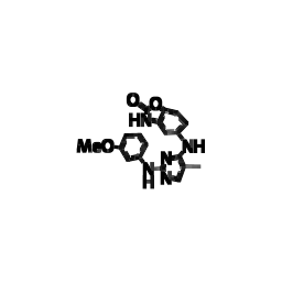 COc1cccc(Nc2ncc(C)c(Nc3ccc4oc(=O)[nH]c4c3)n2)c1